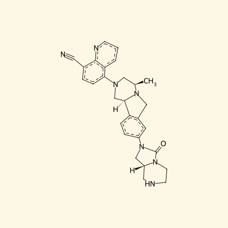 C[C@@H]1CN(c2ccc(C#N)c3ncccc23)C[C@@H]2c3ccc(N4C[C@H]5CNCCN5C4=O)cc3CN12